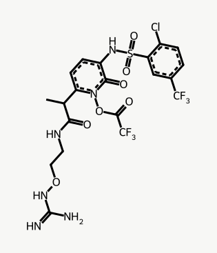 CC(C(=O)NCCONC(=N)N)c1ccc(NS(=O)(=O)c2cc(C(F)(F)F)ccc2Cl)c(=O)n1OC(=O)C(F)(F)F